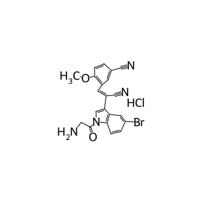 COc1ccc(C#N)cc1C=C(C#N)c1cn(C(=O)CN)c2ccc(Br)cc12.Cl